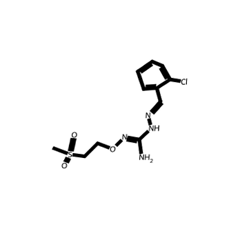 CS(=O)(=O)CCON=C(N)NN=Cc1ccccc1Cl